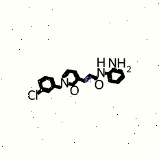 Nc1ccccc1NC(=O)/C=C/c1cccn(Cc2cccc(Cl)c2)c1=O